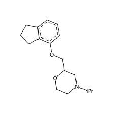 CC(C)N1CCOC(COc2cccc3c2CCC3)C1